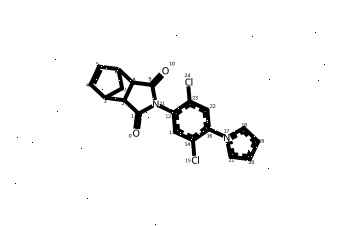 O=C1C2C3C=CC(C3)C2C(=O)N1c1cc(Cl)c(-n2cccc2)cc1Cl